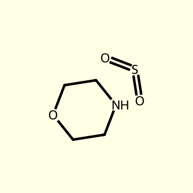 C1COCCN1.O=S=O